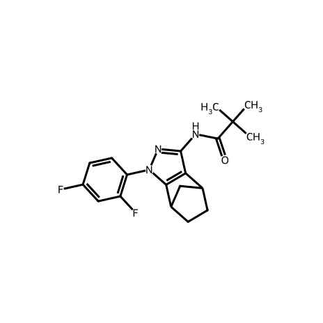 CC(C)(C)C(=O)Nc1nn(-c2ccc(F)cc2F)c2c1C1CCC2C1